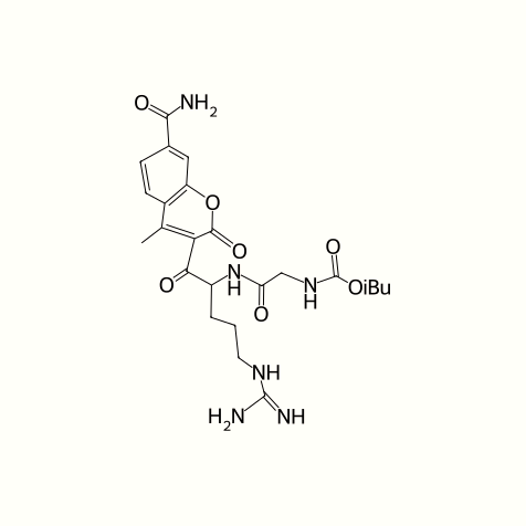 Cc1c(C(=O)C(CCCNC(=N)N)NC(=O)CNC(=O)OCC(C)C)c(=O)oc2cc(C(N)=O)ccc12